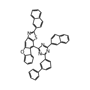 c1ccc(-c2cccc(-c3nc(-c4ccc5ccccc5c4)nc(-c4c5sc(-c6ccc7ccccc7c6)nc5cc5oc6ccccc6c45)n3)c2)cc1